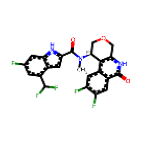 CN(C(=O)c1cc2c(C(F)F)cc(F)cc2[nH]1)[C@H]1COCc2[nH]c(=O)c3cc(F)c(F)cc3c21